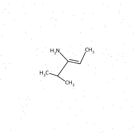 CC=C(N)C(C)C